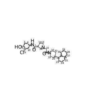 O=C(Nc1ccc(O)c(Cl)c1)C1CCN(CC(=O)N2CCC(c3cccc4ccccc34)CC2)C1